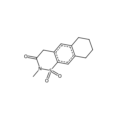 CN1C(=O)Cc2cc3c(cc2S1(=O)=O)CCCC3